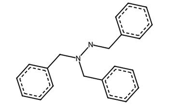 c1ccc(C[N]N(Cc2ccccc2)Cc2ccccc2)cc1